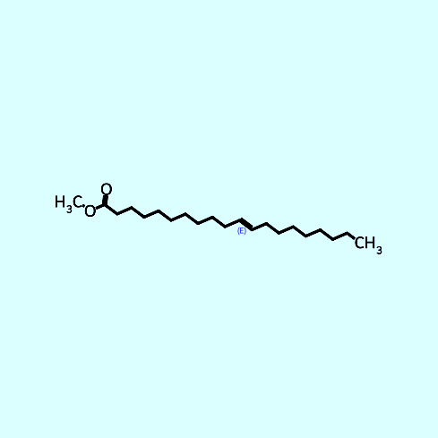 CCCCCCCC/C=C/CCCCCCCCCC(=O)OC